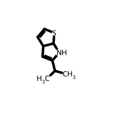 CC(C)C1=CC2C=CSC2N1